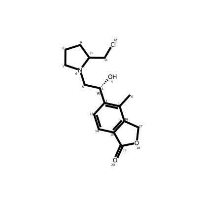 Cc1c([C@@H](O)CN2CCCC2CCl)ccc2c1COC2=O